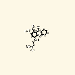 CCN(CC)CCNc1ccc(C)c2c1Cc1ccccc1[S+]2[O-].Cl